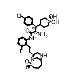 N[C@H](C(=O)Nc1cccc(F)c1CC[C@H]1CNC2CCCS(=O)(=O)N1C2)[C@@H](c1ccc(Cl)cc1)C1CCS(O)(O)CC1